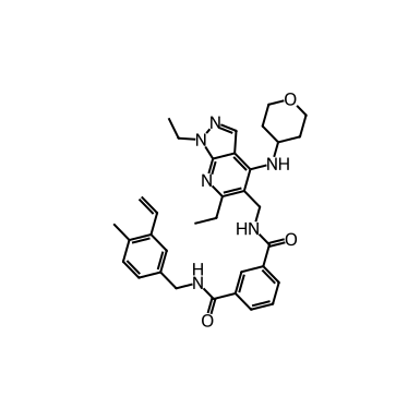 C=Cc1cc(CNC(=O)c2cccc(C(=O)NCc3c(CC)nc4c(cnn4CC)c3NC3CCOCC3)c2)ccc1C